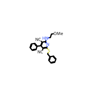 COCCNc1nc(SCc2ccccc2)c(C#N)c(-c2ccccc2)c1C#N